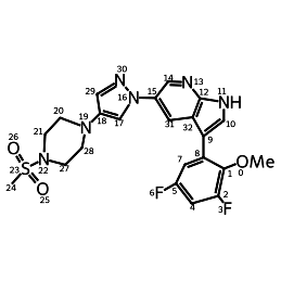 COc1c(F)cc(F)cc1-c1c[nH]c2ncc(-n3cc(N4CCN(S(C)(=O)=O)CC4)cn3)cc12